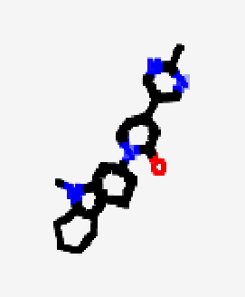 Cc1ncc(-c2ccn(-c3ccc4c5c(n(C)c4c3)CCCC5)c(=O)c2)cn1